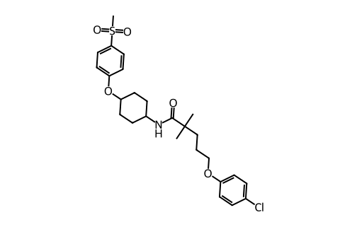 CC(C)(CCCOc1ccc(Cl)cc1)C(=O)NC1CCC(Oc2ccc(S(C)(=O)=O)cc2)CC1